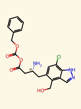 N[C@@H](CC(=O)OC(=O)OCc1ccccc1)Cc1cc(Cl)c2[nH]ncc2c1CO